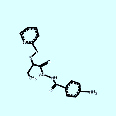 CCC(SSc1ccccn1)C(=O)NNC(=O)c1ccc(N)cc1